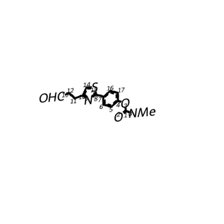 CNC(=O)Oc1ccc(-c2nc(CCC=O)cs2)cc1